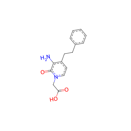 Nc1c(CCc2ccccc2)ccn(CC(=O)O)c1=O